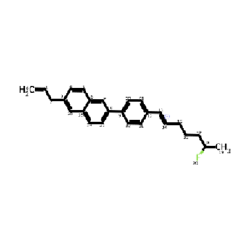 C=CCc1ccc2cc(-c3ccc(/C=C/CCCC(C)F)cc3)ccc2c1